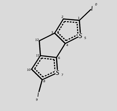 Ic1cc2c(s1)-c1sc(I)cc1C2